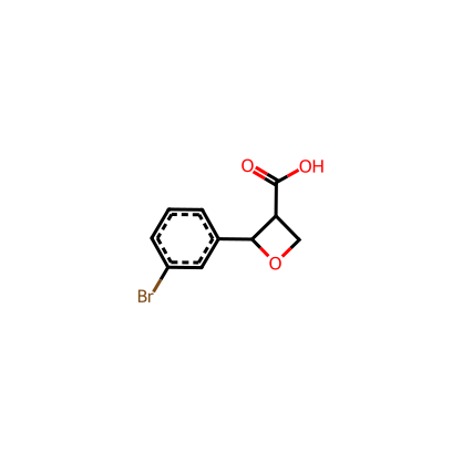 O=C(O)C1COC1c1cccc(Br)c1